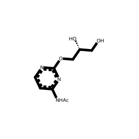 CC(=O)Nc1ccnc(OC[C@H](O)CO)n1